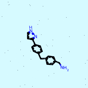 NCc1ccc(Cc2ccc(-c3cc[nH]n3)cc2)cc1